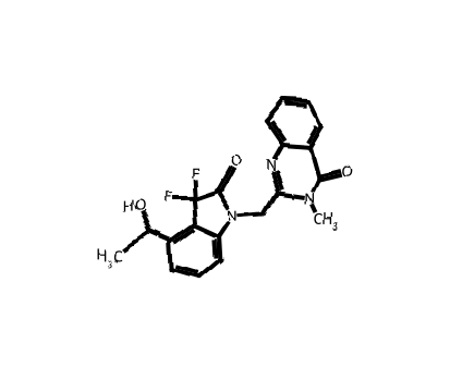 CC(O)c1cccc2c1C(F)(F)C(=O)N2Cc1nc2ccccc2c(=O)n1C